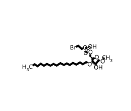 CCCCCCCCCCCCCCCCCCO[C@H]1[C@@H](O)[C@@H](OC)O[C@@H]1COP(=O)(O)OCCBr